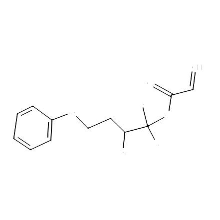 C=CC(=O)OC(Br)(Br)C(Br)CCOc1ccccc1